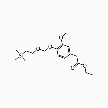 CCOC(=O)Cc1ccc(OCOCC[Si](C)(C)C)c(OC)c1